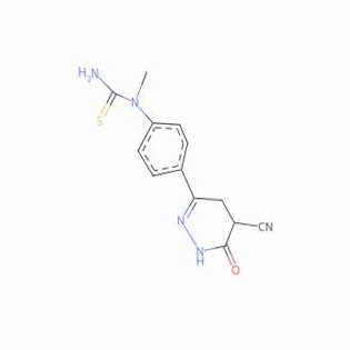 CN(C(N)=S)c1ccc(C2=NNC(=O)C(C#N)C2)cc1